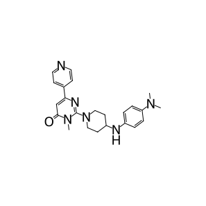 CN(C)c1ccc(NC2CCN(c3nc(-c4ccncc4)cc(=O)n3C)CC2)cc1